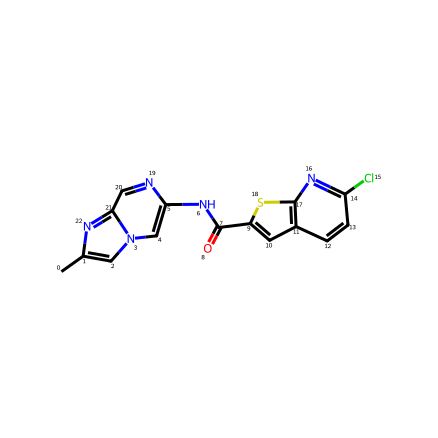 Cc1cn2cc(NC(=O)c3cc4ccc(Cl)nc4s3)ncc2n1